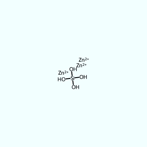 O[Si](O)(O)O.[Zn+2].[Zn+2].[Zn+2]